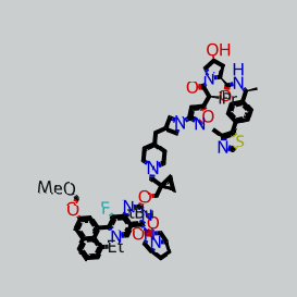 CCc1cccc2cc(OCOC)cc(-c3ncc4c(N5CC6CCC(C5)N6C(=O)OC(C)(C)C)nc(OCC5(CN6CCC(CC7CN(c8cc([C@@H](C(=O)N9C[C@H](O)C[C@H]9C(=O)N[C@@H](C)c9ccc(-c%10scnc%10C)cc9)C(C)C)on8)C7)CC6)CC5)nc4c3F)c12